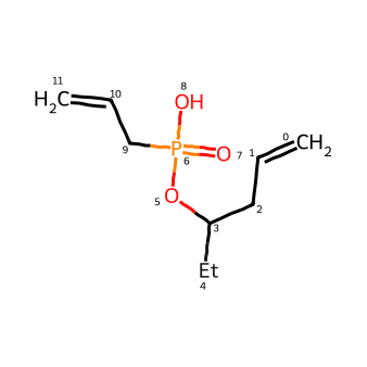 C=CCC(CC)OP(=O)(O)CC=C